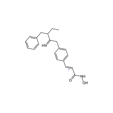 CCC(Cc1ccccc1)C(=N)Cc1ccc(/C=C/C(=O)NO)cc1